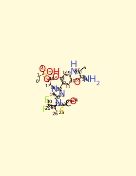 CCS(=O)(=O)O.C[C@H](Nc1ccc2c(c1)OCCn1cc(N3C(=C=O)SC[C@H]3C(F)F)nc1-2)C(N)=O